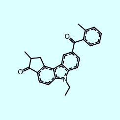 CCn1c2ccc(C(=O)c3ccccc3C)cc2c2c3c(ccc21)C(=O)C(C)C3